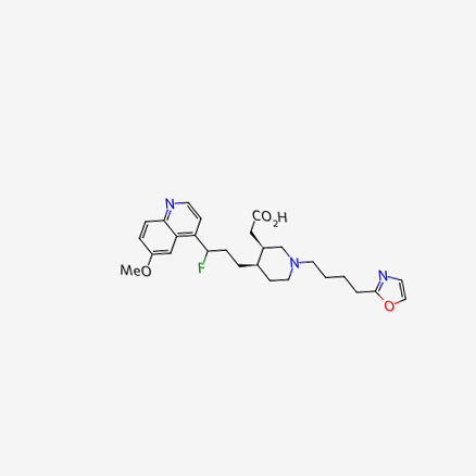 COc1ccc2nccc(C(F)CC[C@@H]3CCN(CCCCc4ncco4)C[C@@H]3CC(=O)O)c2c1